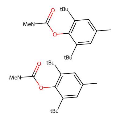 CNC(=O)Oc1c(C(C)(C)C)cc(C)cc1C(C)(C)C.CNC(=O)Oc1c(C(C)(C)C)cc(C)cc1C(C)(C)C